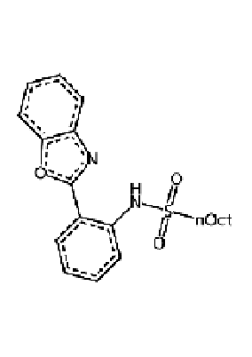 CCCCCCCCS(=O)(=O)Nc1ccccc1-c1nc2ccccc2o1